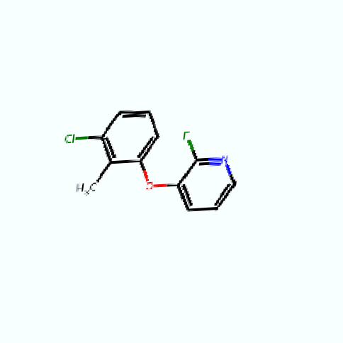 Cc1c(Cl)cccc1Oc1cccnc1F